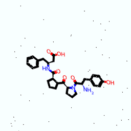 N[C@@H](Cc1ccc(O)cc1)C(=O)N1CCC[C@H]1C(=O)C1CCC[C@H]1C(=O)N[C@H](CC(=O)O)Cc1ccccc1